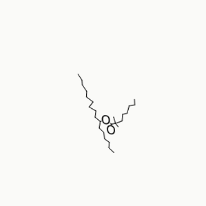 CCCCCCCCCC(CCCCCC)OC(=O)C(C)(C)CCCCCC